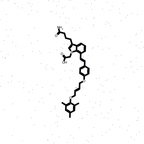 Cc1cc(C)c(OC/C=C/COc2ccc(/C=C/c3cccc4c(CCCC(N)=O)cn(CC(=O)O)c34)cc2)c(C)c1